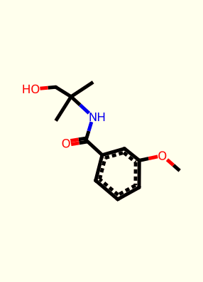 COc1cccc(C(=O)NC(C)(C)CO)c1